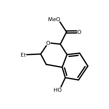 CCC1Cc2c(O)cccc2C(C(=O)OC)O1